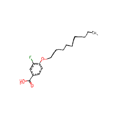 CCCCCCCCCOc1ccc(C(=O)O)cc1F